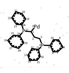 [Pd][CH](CCP(c1ccccc1)c1ccccc1)P(c1ccccc1)c1ccccc1